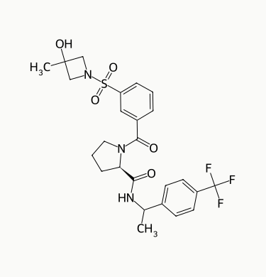 CC(NC(=O)[C@H]1CCCN1C(=O)c1cccc(S(=O)(=O)N2CC(C)(O)C2)c1)c1ccc(C(F)(F)F)cc1